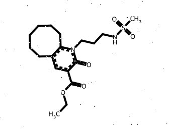 CCOC(=O)c1cc2c(n(CCCNS(C)(=O)=O)c1=O)CCCCCC2